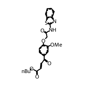 CCCCOC(=O)C=CC(=O)c1ccc(OCC(=O)Nc2nc3ccccc3s2)c(OC)c1